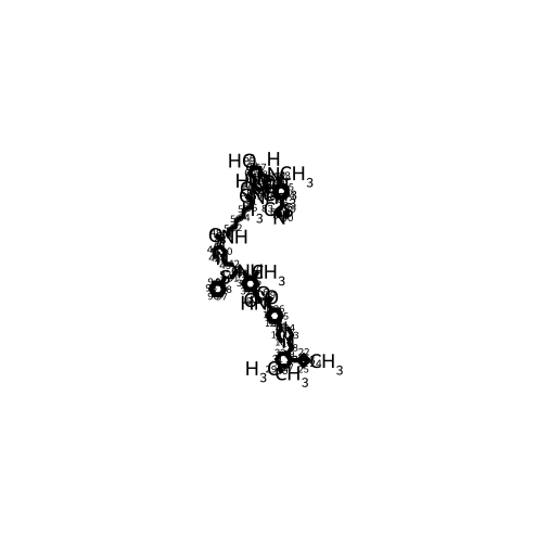 Cc1cc(S(=O)(=O)NC(=O)c2ccc(N3CCN(CC4=C(C56CC(C)(C5)C6)CC(C)(C)CC4)CC3)cc2)ccc1N[C@H](CCN1CC[C@@H](C(=O)NCCCCCCC(=O)N[C@H](C(=O)N2C[C@H](O)C[C@H]2C(=O)N[C@@H](C)c2ccc(-c3scnc3C)cc2)C(C)(C)C)C1)CSc1ccccc1